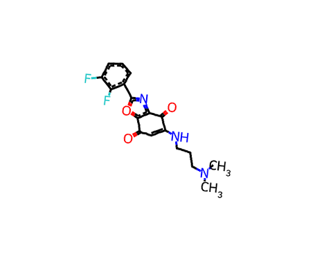 CN(C)CCCNC1=CC(=O)c2oc(-c3cccc(F)c3F)nc2C1=O